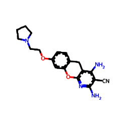 N#Cc1c(N)nc2c(c1N)Cc1ccc(OCCN3CCCC3)cc1O2